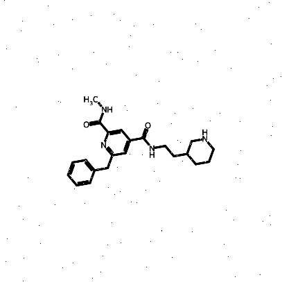 CNC(=O)c1cc(C(=O)NCCC2CCCNC2)cc(Cc2ccccc2)n1